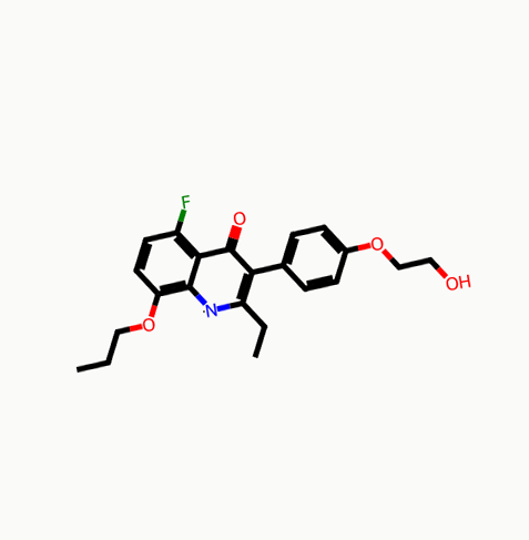 CCCOc1ccc(F)c2c1[N]C(CC)=C(c1ccc(OCCO)cc1)C2=O